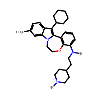 CCN1CCC(CCN(CC)c2cccc3c2OCCn2c-3c(C3CCCCC3)c3ccc(C(=O)O)cc32)CC1